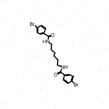 O=C(NCCCCCCNC(=O)c1ccc(Br)cc1)c1ccc(Br)cc1